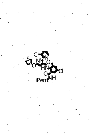 CCCC(C)NC(=O)c1cc(Cl)cc(C)c1NC(=O)c1cc(OC2CCSC2)nn1-c1ncccc1Cl